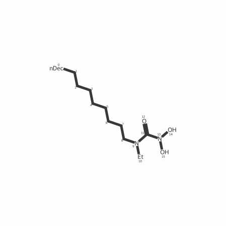 CCCCCCCCCCCCCCCCCCN(CC)C(=O)N(O)O